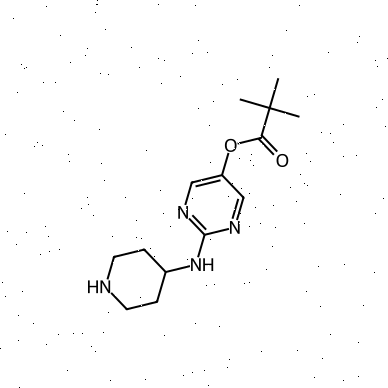 CC(C)(C)C(=O)Oc1cnc(NC2CCNCC2)nc1